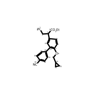 CCOC(=O)C(CC(C)C)c1ccc(OCC2CC2)c(-c2ccc(C#N)cc2)c1